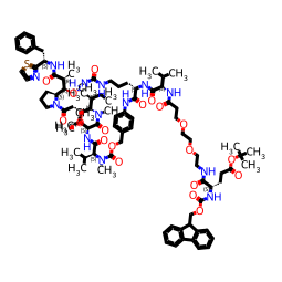 CC[C@H](C)[C@@H]([C@@H](CC(=O)N1CCC[C@H]1[C@H](OC)[C@@H](C)C(=O)N[C@@H](Cc1ccccc1)c1nccs1)OC)N(C)C(=O)[C@@H](NC(=O)[C@H](C(C)C)N(C)C(=O)OCc1ccc(NC(=O)[C@H](CCCNC(N)=O)NC(=O)[C@@H](NC(=O)CCOCCOCCNC(=O)[C@H](CCC(=O)OC(C)(C)C)NC(=O)OCC2c3ccccc3-c3ccccc32)C(C)C)cc1)C(C)C